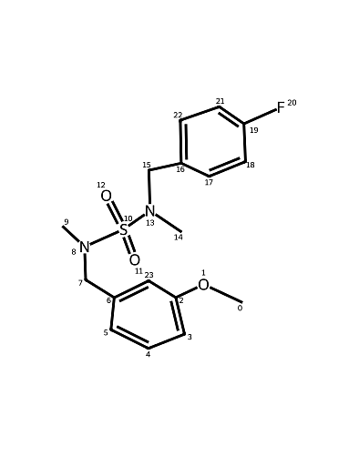 COc1cccc(CN(C)S(=O)(=O)N(C)Cc2ccc(F)cc2)c1